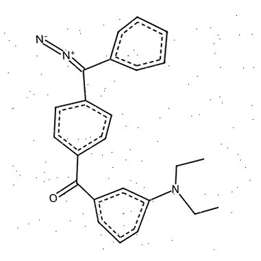 CCN(CC)c1cccc(C(=O)c2ccc(C(=[N+]=[N-])c3ccccc3)cc2)c1